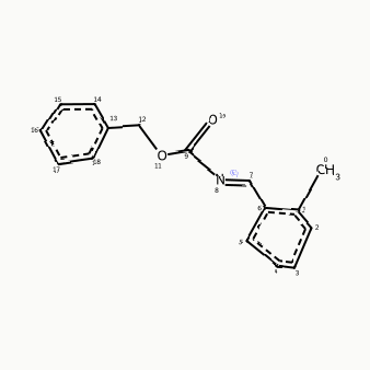 Cc1ccccc1/C=N/C(=O)OCc1ccccc1